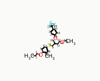 CCCOc1ccc(SCC(CCOCC)COc2ccc(C(F)(F)F)cc2)cc1C